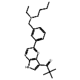 CCCCN(CC)Cc1cccc(-c2cnc3[nH]cc(C(=O)C(C)(C)C)c3n2)c1